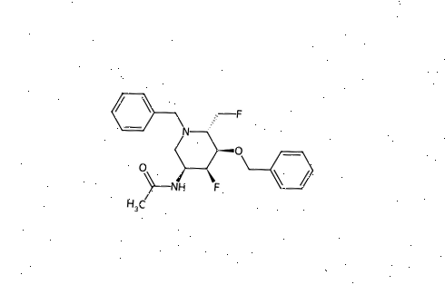 CC(=O)N[C@H]1CN(Cc2ccccc2)[C@H](CF)[C@@H](OCc2ccccc2)[C@H]1F